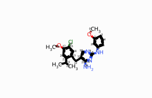 COc1cccc(Nc2ncc(Cc3cc(Cl)c(OC)cc3C(C)C)c(N)n2)c1